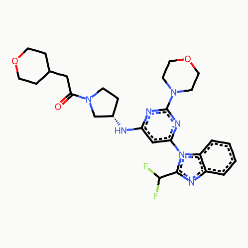 O=C(CC1CCOCC1)N1CC[C@H](Nc2cc(-n3c(C(F)F)nc4ccccc43)nc(N3CCOCC3)n2)C1